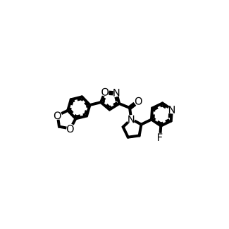 O=C(c1cc(-c2ccc3c(c2)OCO3)on1)N1CCCC1c1ccncc1F